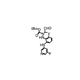 CC(C=O)N(Nc1c(F)cccc1Nc1cncc(F)c1)C(=O)OC(C)(C)C